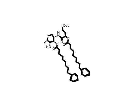 CCCCCCCCCCCCC(OC(=O)CCCCCCCCc1ccccc1)C(=O)N[C@H]1CO[C@H](C)[C@@H](O)[C@@H]1OC(=O)CCCCCCCCc1ccccc1